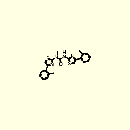 Cc1ccccc1-c1csc(NC(=O)Nc2nc(-c3ccccc3C)cs2)n1